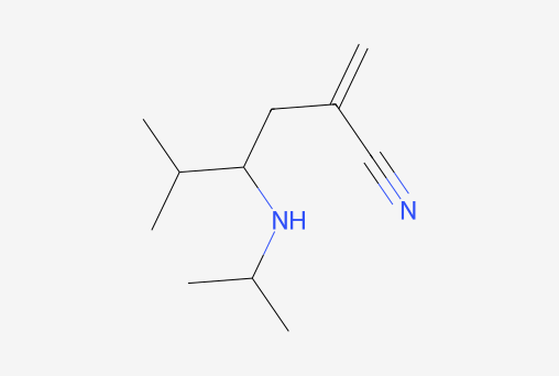 C=C(C#N)CC(NC(C)C)C(C)C